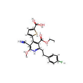 CCOC(=O)c1c(CCc2ccc(F)cc2)nc(OC)c(C#N)c1-c1ccc(C(=O)O)s1